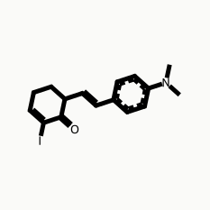 CN(C)c1ccc(/C=C/C2CCC=C(I)C2=O)cc1